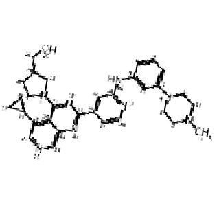 CN1CCN(c2cccc(Nc3cc(-c4nc(N5CCC(CO)C5)c5c(C6CC6)cncc5n4)ccn3)c2)CC1